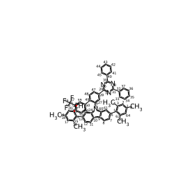 Cc1cc(C)c(-c2ccc3c4ccc(-c5c(C)cc(C)cc5C)cc4n(-c4cc(-c5nc(-c6ccccc6)nc(-c6ccccc6)n5)ccc4-c4cccc(C(F)(F)F)c4)c3c2)c(C)c1